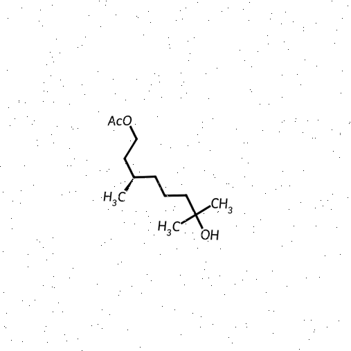 CC(=O)OCC[C@H](C)CCCC(C)(C)O